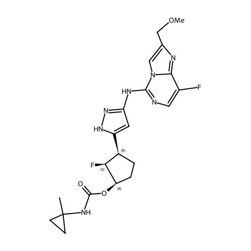 COCc1cn2c(Nc3cc([C@H]4CC[C@@H](OC(=O)NC5(C)CC5)[C@H]4F)[nH]n3)ncc(F)c2n1